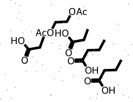 CC(=O)OCCOC(C)=O.CCC(=O)O.CCC(=O)O.CCCC(=O)O.CCCC(=O)O